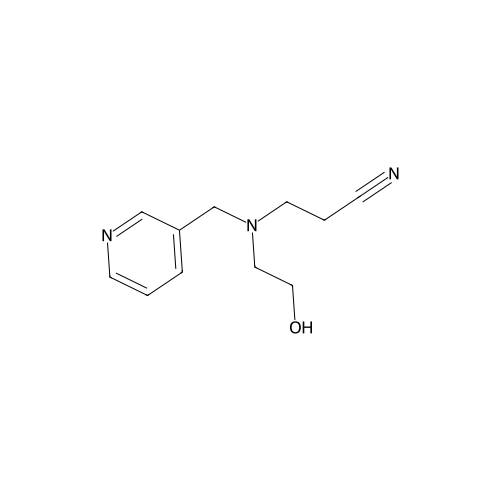 N#CCCN(CCO)Cc1cccnc1